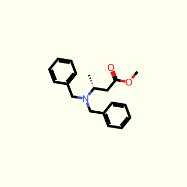 COC(=O)C[C@@H](C)N(Cc1ccccc1)Cc1ccccc1